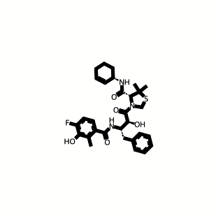 Cc1c(C(=O)N[C@@H](Cc2ccccc2)[C@H](O)C(=O)N2CSC(C)(C)[C@H]2C(=O)N[C@@H]2C=CCCC2)ccc(F)c1O